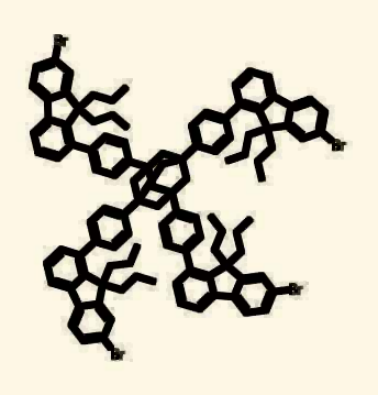 CCCC1(CCC)c2cc(Br)ccc2-c2cccc(-c3ccc(C45CC6(c7ccc(-c8cccc9c8C(CCC)(CCC)c8cc(Br)ccc8-9)cc7)CC(c7ccc(-c8cccc9c8C(CCC)(CCC)c8cc(Br)ccc8-9)cc7)(C4)CC(c4ccc(-c7cccc8c7C(CCC)(CCC)c7cc(Br)ccc7-8)cc4)(C5)C6)cc3)c21